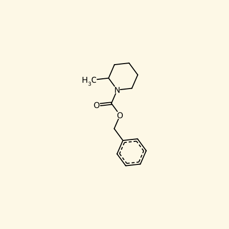 CC1CCCCN1C(=O)OCc1ccccc1